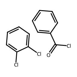 Clc1ccccc1Cl.O=C(Cl)c1ccccc1